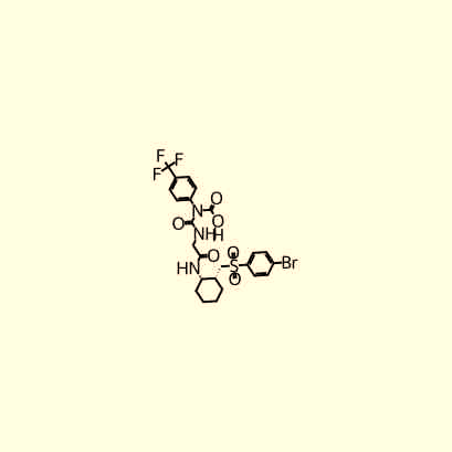 O=C(CNC(=O)N(C(=O)O)c1ccc(C(F)(F)F)cc1)N[C@H]1CCCC[C@H]1CS(=O)(=O)c1ccc(Br)cc1